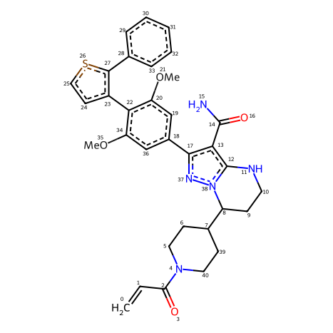 C=CC(=O)N1CCC(C2CCNc3c(C(N)=O)c(-c4cc(OC)c(-c5ccsc5-c5ccccc5)c(OC)c4)nn32)CC1